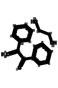 C=C(C(=O)c1ccccc1)c1ccccc1.OCCO